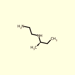 CC[C@@H](C)NCCN